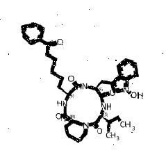 CCC(C)[C@@H]1NC(=O)[C@H](Cc2cn(O)c3ccccc23)NC(=O)[C@H](CCCCCC(=O)c2ccccc2)NC(=O)[C@H]2CCCCN2C1=O